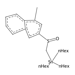 CCCCC[CH2][Sn]([CH2]CCCCC)([CH2]CCCCC)[CH2]S(=O)c1cc(C)c2ccccc2c1